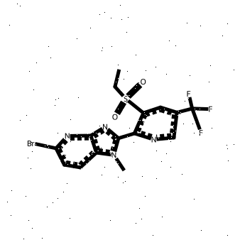 CCS(=O)(=O)c1cc(C(F)(F)F)cnc1-c1nc2nc(Br)ccc2n1C